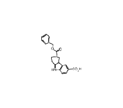 O=C(O)c1ccc2c(c1)C1CN(C(=O)OCc3ccccc3)CCC1N2